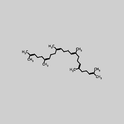 CC(C)=CCCC(C)=CCCC(C)=C[CH]CC=C(C)CCC=C(C)CCC=C(C)C